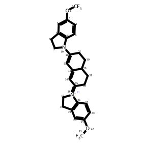 FC(F)(F)Oc1ccc2c(c1)CCN2C1=CC2=C/C(=[N+]3\CCc4cc(OC(F)(F)F)ccc43)CCC2CC1